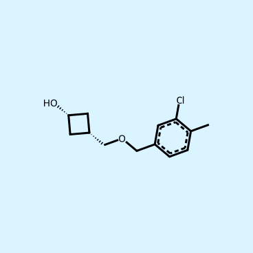 Cc1ccc(COC[C@H]2C[C@@H](O)C2)cc1Cl